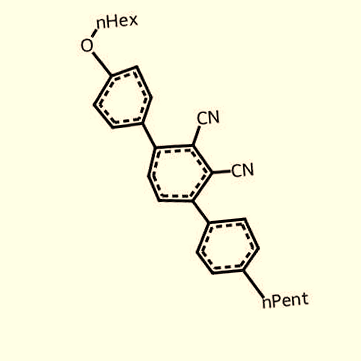 CCCCCCOc1ccc(-c2ccc(-c3ccc(CCCCC)cc3)c(C#N)c2C#N)cc1